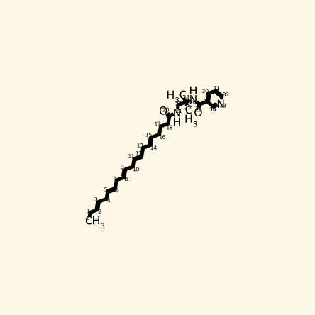 CCC=CCC=CCC=CCC=CCC=CCCCC(=O)NCC(C)(C)NC(=O)c1cccnc1